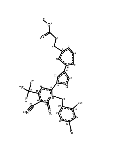 COC(=O)CCc1cccc(-c2coc(-c3cc(C(F)(F)F)c(C#N)c(=O)n3Cc3ccc(F)cc3F)c2)c1